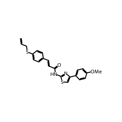 C=CCSc1ccc(/C=C/C(=O)Nc2nc(-c3ccc(OC)cc3)cs2)cc1